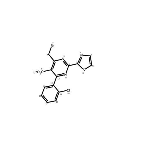 CCOC(=O)c1c(CBr)nc(-c2nccs2)nc1-c1ccccc1Cl